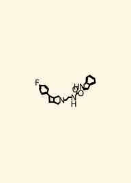 O=C(NCCN1CC2CC(c3ccc(F)cc3)C2C1)Oc1cc2ccccc2[nH]1